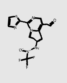 O=CC1=C2CC(N[S+]([O-])C(F)(F)F)CN2C(c2nccs2)=NC1